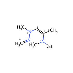 C=NN(C)/C=C(/C)N(C)CC